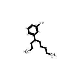 CCCCCC(CCC)c1cccc(F)c1